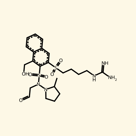 CC1CCCN1N(CC=O)S(=O)(=O)c1c(S(=O)(=O)CCCCNC(=N)N)cc2ccccc2c1CO